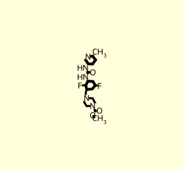 COC(=O)N1CCN(Cc2cc(F)cc(NC(=O)Nc3ccc(C)nc3)c2F)CC1